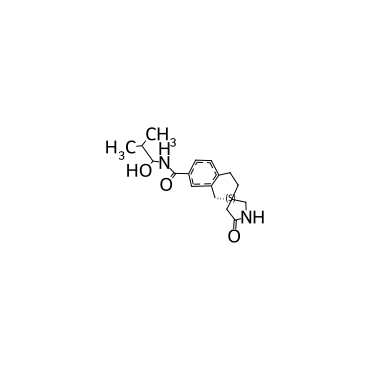 CC(C)C(O)NC(=O)c1ccc2c(c1)C[C@]1(CC2)CNC(=O)C1